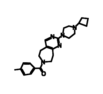 Cc1ccc(C(=O)N2CCc3cnc(N4CCN(C5CCC5)CC4)nc3CC2)cc1